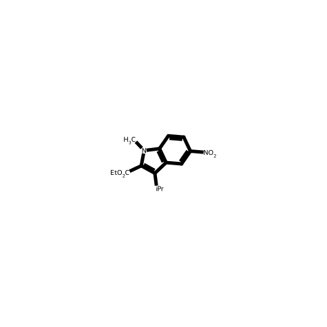 CCOC(=O)c1c(C(C)C)c2cc([N+](=O)[O-])ccc2n1C